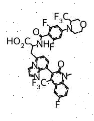 Cn1c(=O)c(-c2ccc(CC(NC(=O)c3c(F)cc(N4CCOCC4C(F)(F)F)cc3F)C(=O)O)n3ccnc23)c(C(F)(F)F)c2cc(F)ccc21